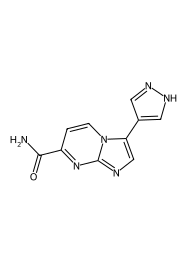 NC(=O)c1ccn2c(-c3cn[nH]c3)cnc2n1